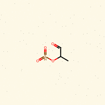 CC([C]=O)O[SH](=O)=O